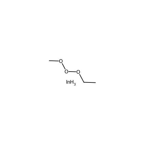 CCOOOC.[InH3]